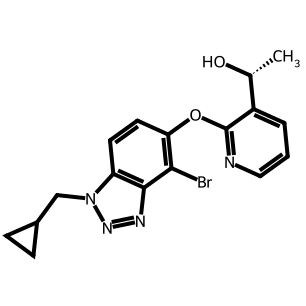 C[C@@H](O)c1cccnc1Oc1ccc2c(nnn2CC2CC2)c1Br